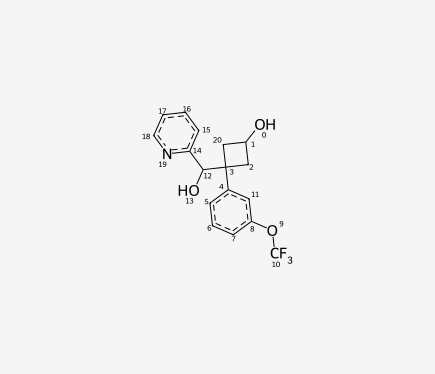 OC1CC(c2cccc(OC(F)(F)F)c2)(C(O)c2ccccn2)C1